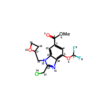 COC(=O)c1cc(OC(F)F)c2nc(CCl)n(CC3CCO3)c2c1